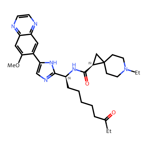 CCC(=O)CCCCC[C@H](NC(=O)[C@H]1CC12CCN(CC)CC2)c1ncc(-c2cc3nccnc3cc2OC)[nH]1